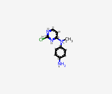 CN(c1ccc(N)cc1)c1ccnc(Cl)n1